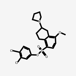 COc1ccc(S(=O)(=O)Oc2ccc(Cl)c(Cl)c2)c2c1CC(N1CCCC1)CC2